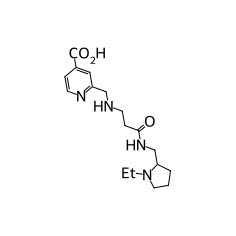 CCN1CCCC1CNC(=O)CCNCc1cc(C(=O)O)ccn1